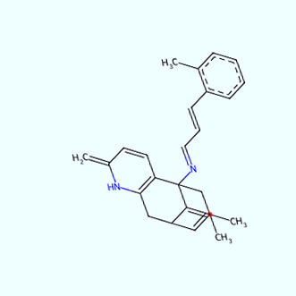 C=C1C=CC2=C(CC3C=C(C)CC2(/N=C/C=C/c2ccccc2C)/C3=C/C)N1